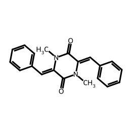 Cn1c(=O)c(=Cc2ccccc2)n(C)c(=O)c1=Cc1ccccc1